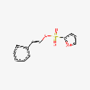 O=S(=O)(OC=Cc1ccccc1)c1ccco1